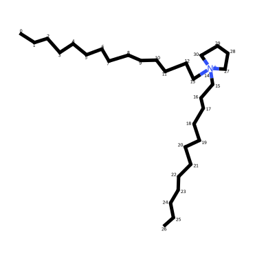 CCCCCCCCCCCCCC[N+]1(CCCCCCCCCCCC)CCCC1